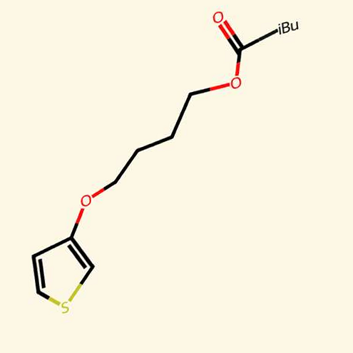 CCC(C)C(=O)OCCCCOc1ccsc1